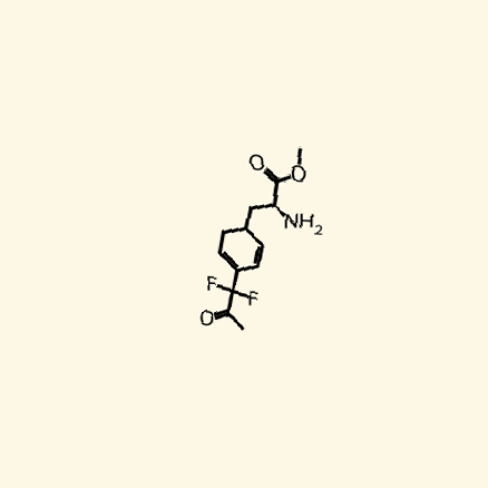 COC(=O)[C@@H](N)CC1C=CC(C(F)(F)C(C)=O)=CC1